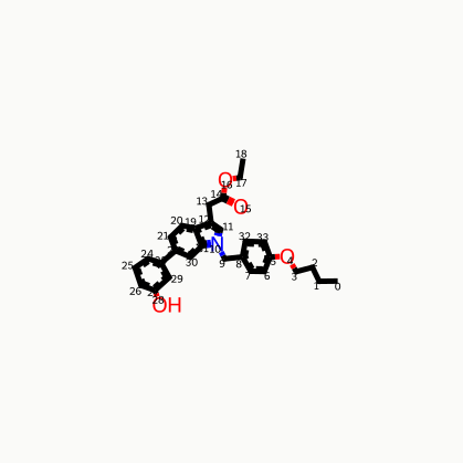 CCCCOc1ccc(Cn2cc(CC(=O)OCC)c3ccc(-c4cccc(O)c4)cc32)cc1